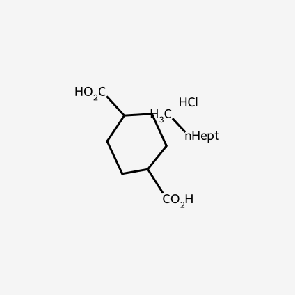 CCCCCCCC.Cl.O=C(O)C1CCC(C(=O)O)CC1